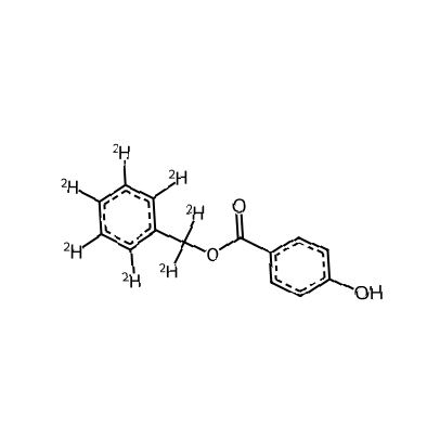 [2H]c1c([2H])c([2H])c(C([2H])([2H])OC(=O)c2ccc(O)cc2)c([2H])c1[2H]